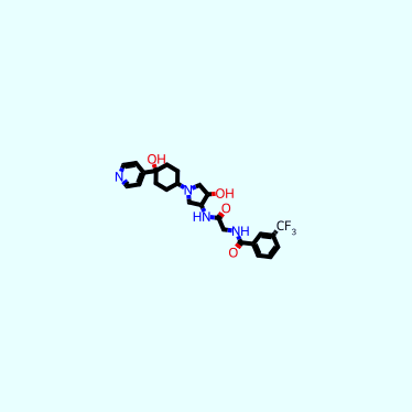 O=C(CNC(=O)c1cccc(C(F)(F)F)c1)NC1CN(C2CCC(O)(c3ccncc3)CC2)CC1O